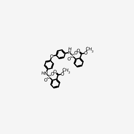 COC(=O)c1ccccc1S(=O)(=O)Nc1ccc(Oc2ccc(NS(=O)(=O)c3ccccc3C(=O)OC)cc2)cc1